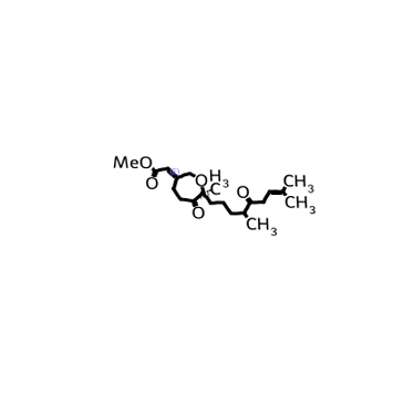 COC(=O)/C=C1\CCC(=O)[C@](C)(CCCC(C)C(=O)CC=C(C)C)OC1